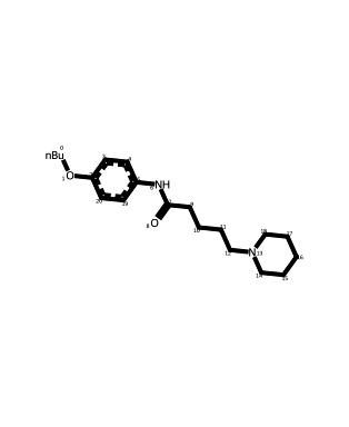 CCCCOc1ccc(NC(=O)CCCCN2CCCCC2)cc1